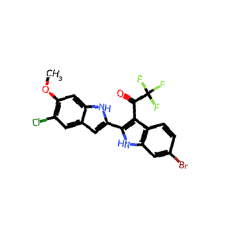 COc1cc2[nH]c(-c3[nH]c4cc(Br)ccc4c3C(=O)C(F)(F)F)cc2cc1Cl